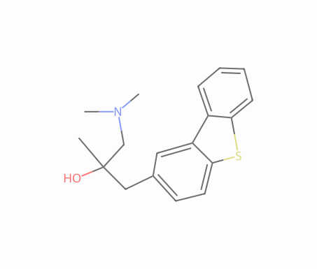 CN(C)CC(C)(O)Cc1ccc2sc3ccccc3c2c1